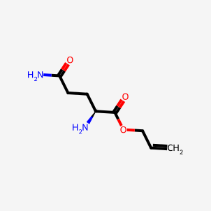 C=CCOC(=O)[C@@H](N)CCC(N)=O